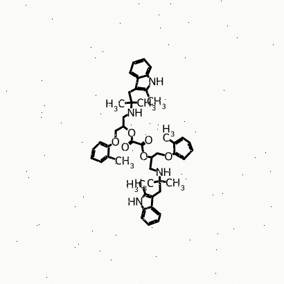 Cc1ccccc1OCC(CNC(C)(C)Cc1c(C)[nH]c2ccccc12)OC(=O)C(=O)OC(CNC(C)(C)Cc1c(C)[nH]c2ccccc12)COc1ccccc1C